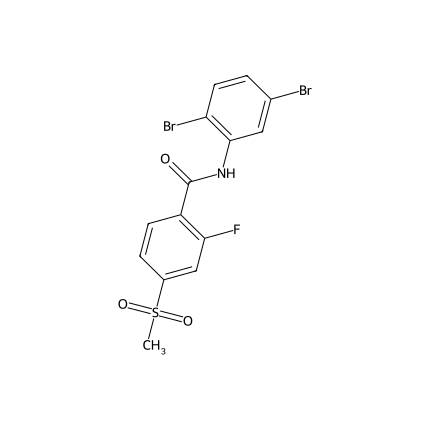 CS(=O)(=O)c1ccc(C(=O)Nc2cc(Br)ccc2Br)c(F)c1